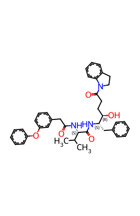 CC(C)[C@H](NC(=O)Cc1cccc(Oc2ccccc2)c1)C(=O)N[C@@H](Cc1ccccc1)[C@H](O)CCC(=O)N1CCc2ccccc21